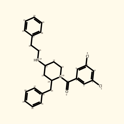 O=C(c1cc(Cl)cc(Cl)c1)N1CCC(NCCc2ccccc2)CC1Cc1ccccc1